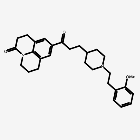 COc1ccccc1CCN1CCC(CCC(=O)c2cc3c4c(c2)CCC(=O)N4CCC3)CC1